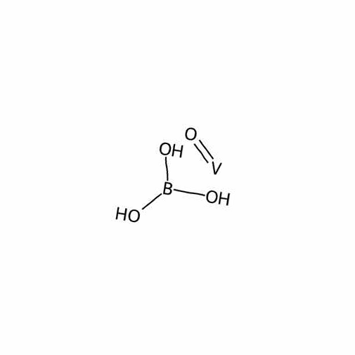 OB(O)O.[O]=[V]